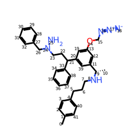 Cc1ccc(CCCN[C@@H](C)c2cc(OCN=[N+]=[N-])cc(C(CCN(N)Cc3ccccc3)c3ccccc3)c2)cc1